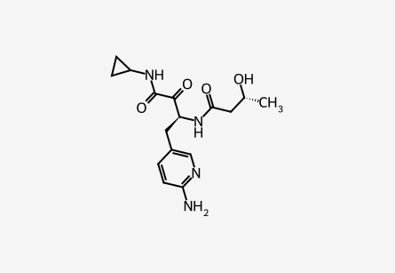 C[C@@H](O)CC(=O)N[C@@H](Cc1ccc(N)nc1)C(=O)C(=O)NC1CC1